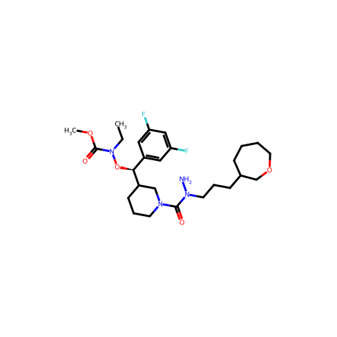 CCN(O[C@@H](c1cc(F)cc(F)c1)C1CCCN(C(=O)N(N)CCCC2CCCCOC2)C1)C(=O)OC